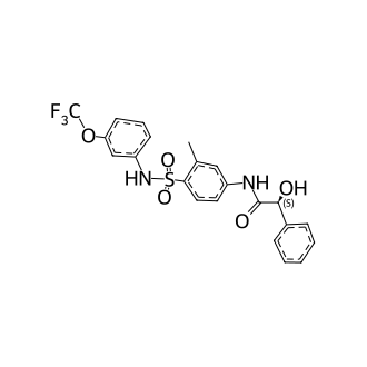 Cc1cc(NC(=O)[C@@H](O)c2ccccc2)ccc1S(=O)(=O)Nc1cccc(OC(F)(F)F)c1